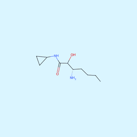 CCCC[C@H](N)C(O)C(=O)NC1CC1